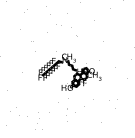 CN(CCCCC[C@@H]1Cc2cc(O)ccc2[C@@H]2[C@@H]1[C@@H]1CCC(=O)[C@@]1(C)C[C@@H]2F)CCC(F)(F)C(F)(F)C(F)(F)C(F)(F)C(F)(F)C(F)(F)F